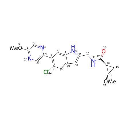 COc1cnc(-c2cc3[nH]c(CNC(=O)[C@H]4C[C@H]4OC)cc3cc2Cl)cn1